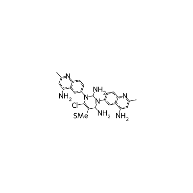 CSC1=C(Cl)N(c2ccc3nc(C)cc(N)c3c2)C(N)N(c2ccc3nc(C)cc(N)c3c2)C1N